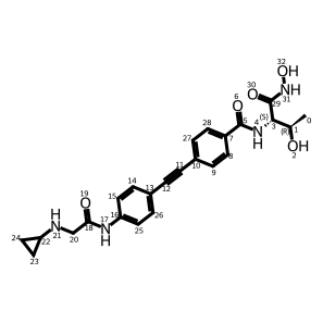 C[C@@H](O)[C@H](NC(=O)c1ccc(C#Cc2ccc(NC(=O)CNC3CC3)cc2)cc1)C(=O)NO